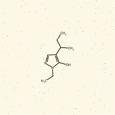 CCC(C)c1cnn(CC)c1O